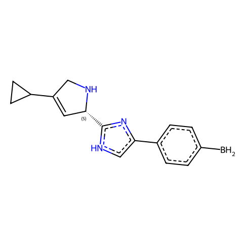 Bc1ccc(-c2c[nH]c([C@@H]3C=C(C4CC4)CN3)n2)cc1